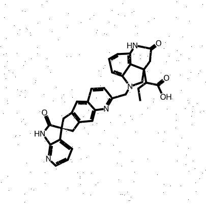 CCC(C(=O)O)C12CC(=O)Nc3cccc(c31)N(Cc1ccc3cc4c(cc3n1)C[C@]1(C4)C(=O)Nc3ncccc31)C2